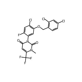 Cn1c(C(F)(F)F)cc(=O)n(-c2cc(OCc3ccc(Cl)cc3Cl)c(Cl)cc2F)c1=O